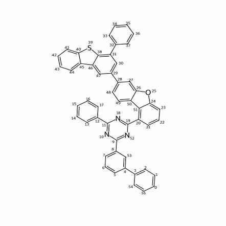 c1ccc(-c2cccc(-c3nc(-c4ccccc4)nc(-c4cccc5oc6cc(-c7cc(-c8ccccc8)c8sc9ccccc9c8c7)ccc6c45)n3)c2)cc1